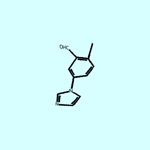 Cc1ccc(-n2ccnc2)cc1C=O